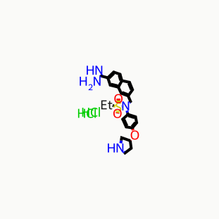 CCS(=O)(=O)N(Cc1ccc2ccc(C(=N)N)cc2c1)c1ccc(OC2CCNC2)cc1.Cl.Cl